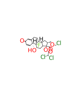 C[C@@H]1C[C@H]2[C@@H]3CCC4=CC(=O)C=C[C@]4(C)[C@@]3(F)[C@@H](O)C[C@]2(C)[C@@]1(OC(=O)C(Cl)Cl)C(=O)OCCl